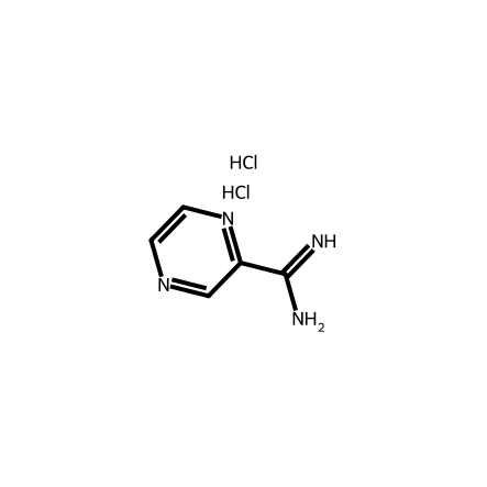 Cl.Cl.N=C(N)c1cnccn1